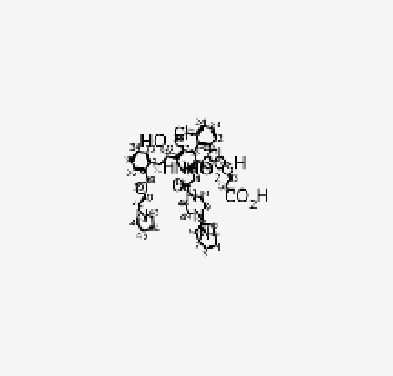 CN1C2CCC1CC(N1CCN(C(=O)CC3=C(C(=O)O)C(c4c(Cl)cccc4Cl)C(C(=O)O)=C(CCc4ccccc4COCCN4CCCC4)N3)CC1)C2.O=C(O)CCC(=O)O